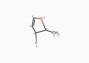 CC1OC=CC1F